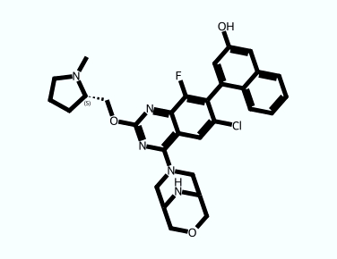 CN1CCC[C@H]1COc1nc(N2CC3COCC(C2)N3)c2cc(Cl)c(-c3cc(O)cc4ccccc34)c(F)c2n1